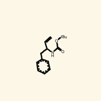 C=CC(Cc1ccccc1)NC(=O)OC(C)(C)C